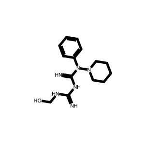 N=C(NCO)NC(=N)N(c1ccccc1)N1CCCCC1